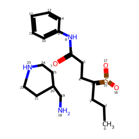 CCCC(CCC(=O)Nc1ccccc1)=S(=O)=O.NCC1CCNCC1